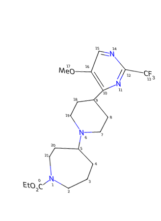 CCOC(=O)N1CCCC(N2CCC(c3nc(C(F)(F)F)ncc3OC)CC2)CC1